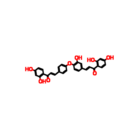 O=C(/C=C/c1ccc(Oc2ccc(/C=C/C(=O)c3ccc(O)cc3O)cc2O)cc1)c1ccc(O)cc1O